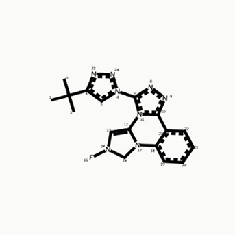 CC(C)(C)c1cn(-c2nnc3n2C2=CN(F)CN2c2ccccc2-3)nn1